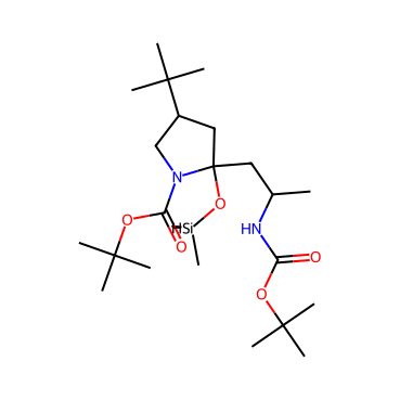 CC(CC1(O[SiH](C)C)CC(C(C)(C)C)CN1C(=O)OC(C)(C)C)NC(=O)OC(C)(C)C